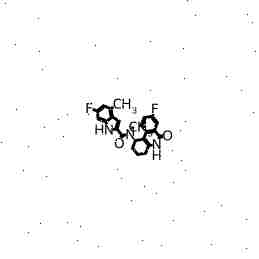 Cc1cc(F)cc2[nH]c(C(=O)N(C)[C@@H]3CCCc4[nH]c(=O)c5cc(F)ccc5c43)cc12